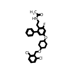 CC(=O)NCCc1c(F)cc(OC2CCC(OCc3c(Cl)cccc3Cl)CC2)cc1-c1ccccc1